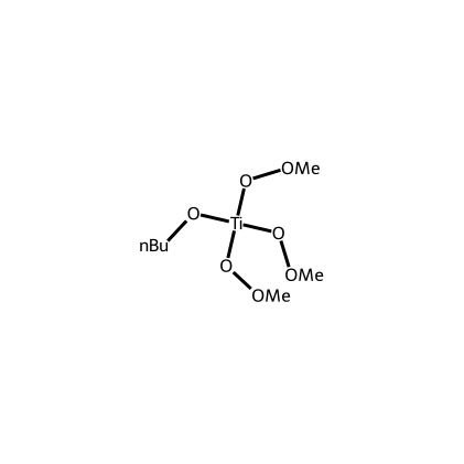 CCCC[O][Ti]([O]OC)([O]OC)[O]OC